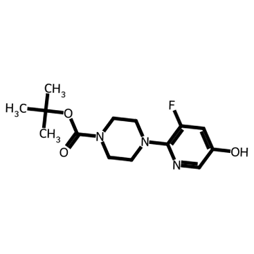 CC(C)(C)OC(=O)N1CCN(c2ncc(O)cc2F)CC1